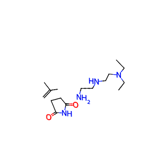 C=C(C)C.CCN(CC)CCNCCN.O=C1CCC(=O)N1